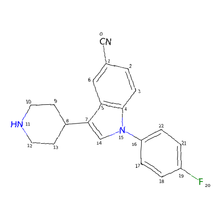 N#Cc1ccc2c(c1)c(C1CCNCC1)cn2-c1ccc(F)cc1